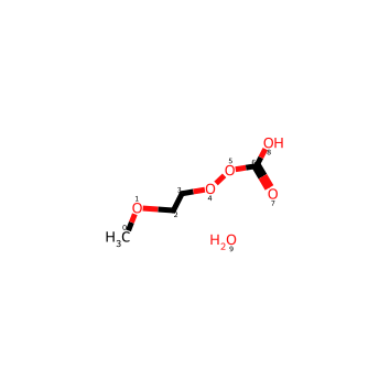 COCCOOC(=O)O.O